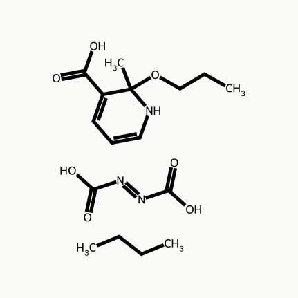 CCCC.CCCOC1(C)NC=CC=C1C(=O)O.O=C(O)/N=N/C(=O)O